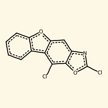 Clc1nc2cc3oc4ccccc4c3c(Cl)c2o1